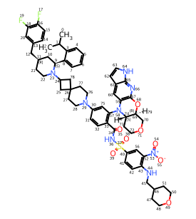 CC(C)c1ccccc1[C@@H]1C[C@H](Cc2ccc(F)c(F)c2)CCN1C1CC2(CCN(c3ccc(C(=O)NS(=O)(=O)c4ccc(NCC5CCOCC5)c([N+](=O)[O-])c4)c(N4c5cc6cc[nH]c6nc5O[C@H]5COCC[C@@H]54)c3)CC2)C1